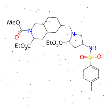 CCOC(=O)C1CC(NS(=O)(=O)c2ccc(C)cc2)CN1CC1CCC2CN(C(=O)OC)C(C(=O)OCC)CC2C1